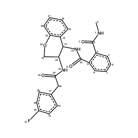 CNC(=O)c1ccccc1C(=O)NC1c2ccccc2OCC1NC(=O)Cc1ccc(F)cc1